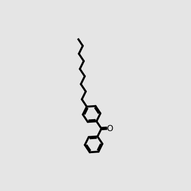 CCCCCCCCCc1ccc(C(=O)c2ccccc2)cc1